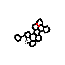 C1=CCC(c2c3ccccc3c(-c3ccc(-c4ccccc4)c4sc5ccccc5c34)c3ccccc23)C(c2ccccc2)=C1